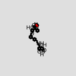 O=C(O)N(C(c1ccccc1)c1cccc(OCc2cccc(-c3ccc(CCNC[C@H](O)c4ccc(O)c5[nH]c(=O)ccc45)cc3)c2)c1)[C@H]1CN2CCC1CC2